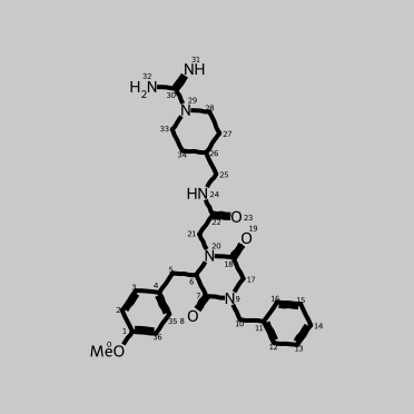 COc1ccc(CC2C(=O)N(Cc3ccccc3)CC(=O)N2CC(=O)NCC2CCN(C(=N)N)CC2)cc1